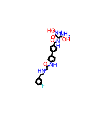 N[C@@H](O)[C@H](NC(=O)c1ccc(-c2ccc(NC(=O)CNCCc3cccc(F)c3)cc2)cc1)C(=O)NO